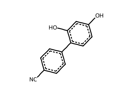 N#Cc1ccc(-c2ccc(O)cc2O)cc1